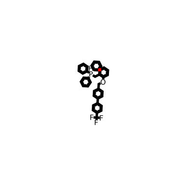 FC(F)(F)c1ccc(-c2ccc(COc3ccccc3C[PH](c3ccccc3)(c3ccccc3)c3ccccc3)cc2)cc1